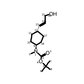 CN(C(=O)OC(C)(C)C)[C@H]1CC[C@H](C=CCO)CC1